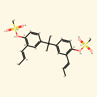 CC=Cc1cc(C(C)(C)c2ccc(OS(C)(=O)=O)c(C=CC)c2)ccc1OS(C)(=O)=O